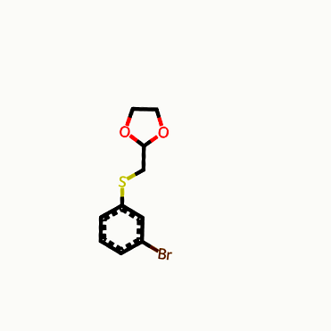 Brc1cccc(SCC2OCCO2)c1